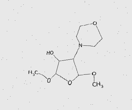 COC1OC(OC)C(N2CCOCC2)C1O